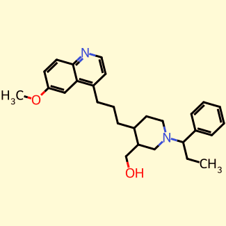 CCC(c1ccccc1)N1CCC(CCCc2ccnc3ccc(OC)cc23)C(CO)C1